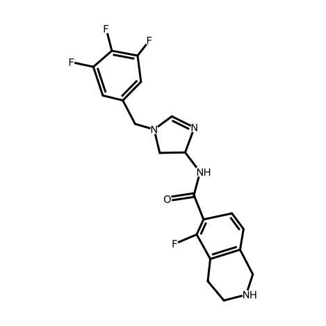 O=C(NC1CN(Cc2cc(F)c(F)c(F)c2)C=N1)c1ccc2c(c1F)CCNC2